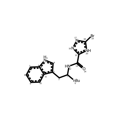 CCCCC(Cc1c[nH]c2ccccc12)NC(=O)c1nnc(Br)[nH]1